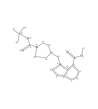 COC(=O)c1cccc2ccn(CC3CCN(C(=O)OC(C)(C)C)CC3)c12